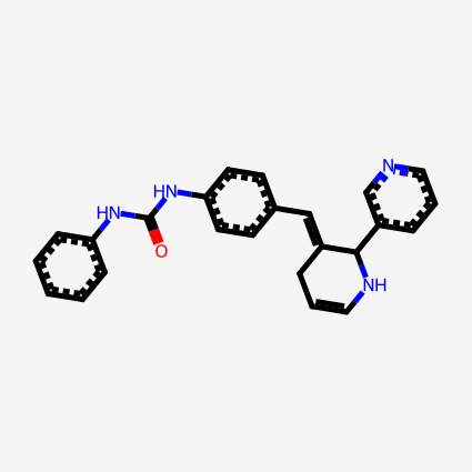 O=C(Nc1ccccc1)Nc1ccc(C=C2CC=CNC2c2cccnc2)cc1